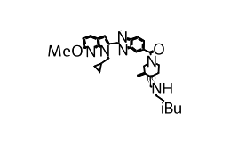 C=C1CN(C(=O)c2ccc3c(c2)nc(-c2cc4ccc(OC)nc4n2CC2CC2)n3C)CC[C@H]1CNCCC(C)CC